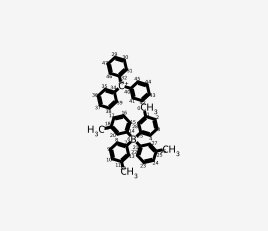 Cc1cccc([B-](c2cccc(C)c2)(c2cccc(C)c2)c2cccc(C)c2)c1.c1ccc([C+](c2ccccc2)c2ccccc2)cc1